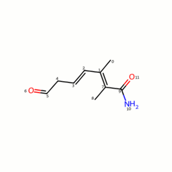 CC(C=CCC=O)=C(C)C(N)=O